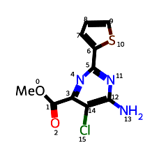 COC(=O)c1nc(-c2cccs2)nc(N)c1Cl